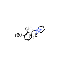 Cc1c(C[N+]2(C)CCCC2)cccc1C(C)(C)C